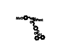 CCCCCN(NCCc1ccc(OC)cc1)C(=O)CCN1CCC(OC(=O)Nc2ccccc2-c2ccccc2)CC1